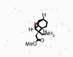 COC(=O)C[C@]1(CN)[C@@H]2CC[C@H]3C[C@@H]2[C@@H]1C3